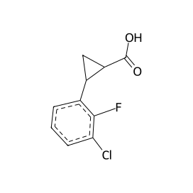 O=C(O)C1CC1c1cccc(Cl)c1F